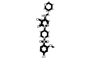 COc1cc(Cl)ccc1S(=O)(=O)N1CCC(n2ncc(NC[C@H]3CCCOC3)c(Cl)c2=O)CC1